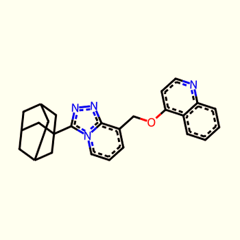 c1ccc2c(OCc3cccn4c(C56CC7CC(CC(C7)C5)C6)nnc34)ccnc2c1